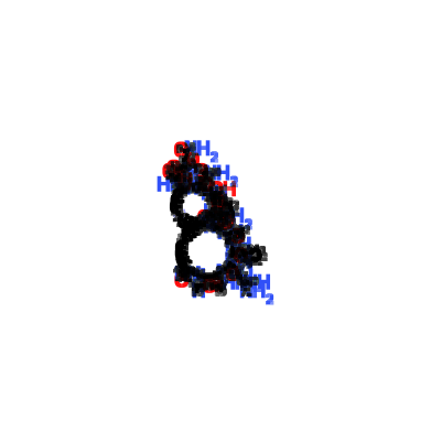 CC(=O)N[C@@H](CCC(N)=O)C(=O)C(=O)[C@H](CO)NN[C@]1(C)CCC/C=C\CCC[C@@]2(CCCC=CCCCCC[C@@](C)(C(C)=O)NN[C@@H](CC(C)C)C(=O)C(=O)[C@H](CC(C)C)NC(=O)C(CCCNC(=N)N)NC(=O)[C@H](Cc3c[nH]c4ccccc34)NC(=O)C(CC(C)C)NC(=O)[C@H](CC(N)=O)NC2=O)NN[C@@H](Cc2ccccc2)C(=O)C(=O)[C@H]([C@@H](C)O)NC(=O)[C@H](CCC(N)=O)NC1=O